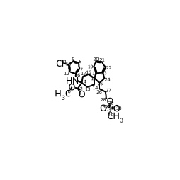 COC(=O)C1(Nc2cccc(Cl)c2)CCC2(CC1)c1ccccc1CC2CCCOS(C)(=O)=O